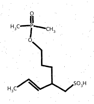 CC=CC(CCCOP(C)(C)=O)CS(=O)(=O)O